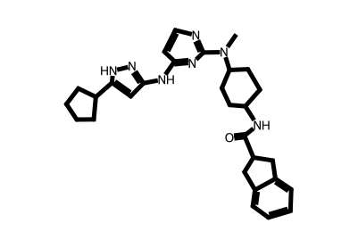 CN(c1nccc(Nc2cc(C3CCCC3)[nH]n2)n1)C1CCC(NC(=O)C2Cc3ccccc3C2)CC1